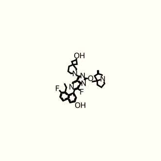 C=C1CN2CCCC2(COc2nc(N3CCCC4(CC(O)C4)C3)c3cnc(-c4cc(O)cc5ccc(F)c(CC)c45)c(F)c3n2)C1